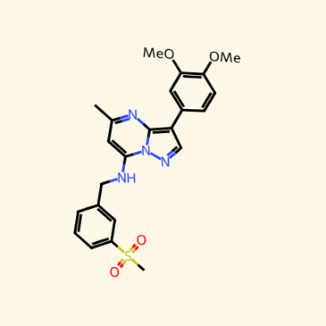 COc1ccc(-c2cnn3c(NCc4cccc(S(C)(=O)=O)c4)cc(C)nc23)cc1OC